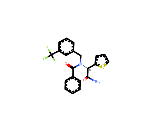 NC(=O)[C@@H](c1cccs1)N(Cc1cccc(C(F)(F)F)c1)C(=O)c1ccccc1